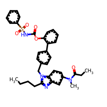 CCCCc1nc2cc(N(C)C(=O)CC)ccc2n1Cc1ccc(-c2ccccc2OC(=O)NS(=O)(=O)c2ccccc2)cc1